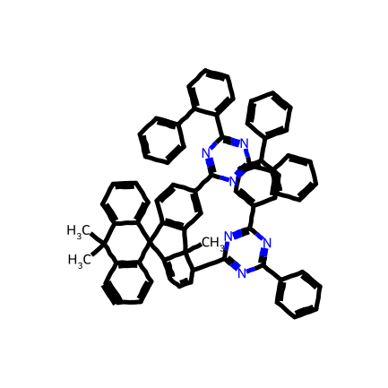 CC1(C)c2c#cccc2C2(C3=CC=CC(c4nc(-c5ccccc5)nc(-c5ccc(-c6ccccc6)cc5)n4)C3(C)c3cc(-c4nc(-c5ccccc5)nc(-c5ccccc5-c5ccccc5)n4)ccc32)c2ccccc21